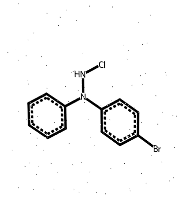 ClNN(c1ccccc1)c1ccc(Br)cc1